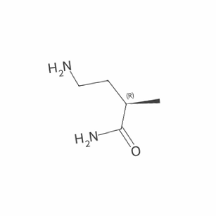 C[C@H](CCN)C(N)=O